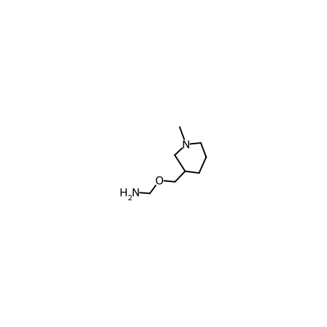 CN1CCCC(COCN)C1